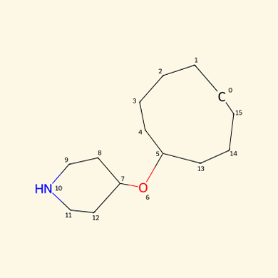 C1CCCCC(OC2CCNCC2)CCC1